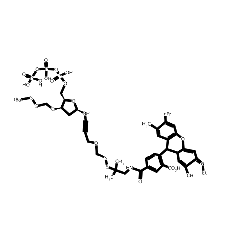 CCCc1cc2c(cc1C)C(c1ccc(C(=O)NCC(C)(C)SSCOCC#CB[C@H]3C[C@@H](OCSSC(C)(C)C)[C@@H](COP(=O)(O)OP(=O)(O)OP(=O)(O)O)O3)cc1C(=O)O)C1C=C(C)/C(=N\CC)C=C1O2